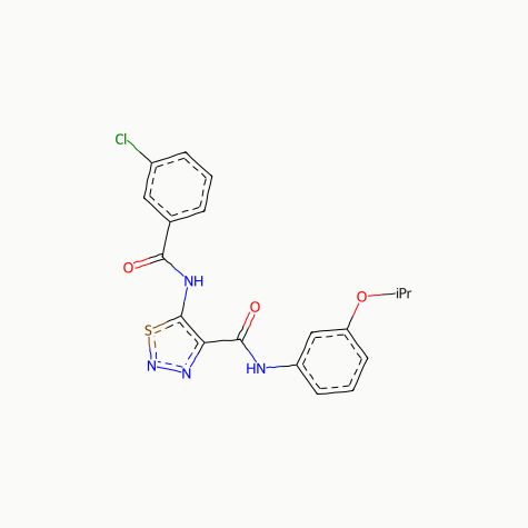 CC(C)Oc1cccc(NC(=O)c2nnsc2NC(=O)c2cccc(Cl)c2)c1